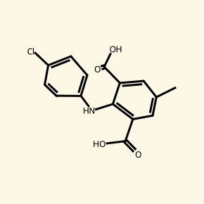 Cc1cc(C(=O)O)c(Nc2ccc(Cl)cc2)c(C(=O)O)c1